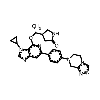 C[C@@H](Oc1nc(-c2ccc(N3CCn4cnnc4C3)cc2)cc2ncn(C3CC3)c12)C1CNC(=O)C1